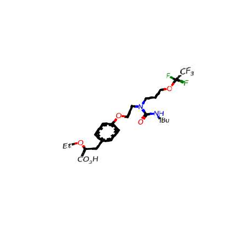 CCOC(Cc1ccc(OCCN(CCCOC(F)(F)C(F)(F)F)C(=O)NC(C)CC)cc1)C(=O)O